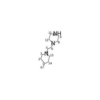 CC1CCN(CCN2CCNCC2)CC1